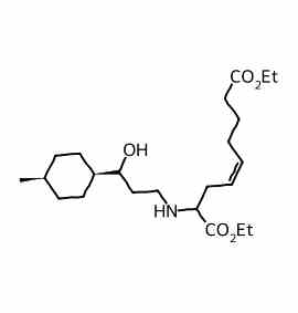 CCOC(=O)CCC/C=C\CC(NCCC(O)[C@H]1CC[C@@H](C)CC1)C(=O)OCC